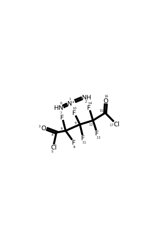 N=[N+]=N.O=C(Cl)C(F)(F)C(F)(F)C(F)(F)C(=O)Cl